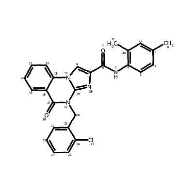 Cc1ccc(NC(=O)c2cn3c4ccccc4c(=O)n(Cc4ccccc4Cl)c3n2)c(C)c1